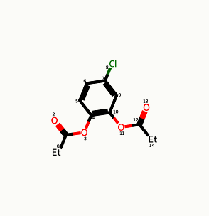 CCC(=O)Oc1ccc(Cl)cc1OC(=O)CC